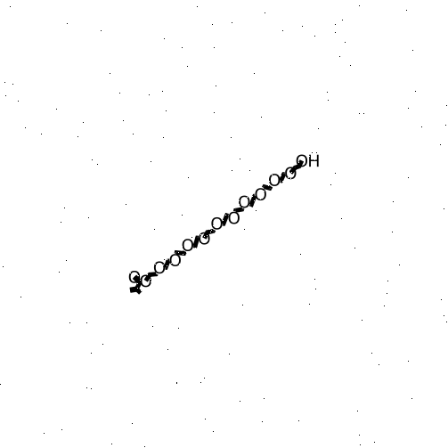 C=C(C)C(=O)OCCOCCOCCOCCOCCOCCOCCOCCOCCOCCOCCO